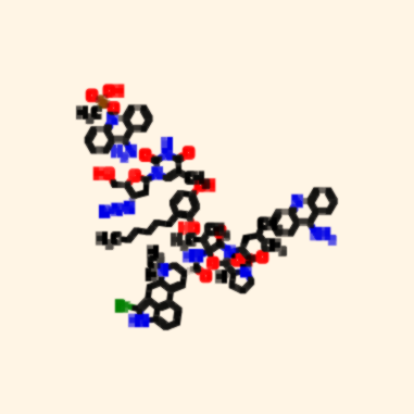 CC(C)C[C@H]1C(=O)N2CCC[C@H]2[C@]2(O)O[C@](NC(=O)[C@@H]3C=C4c5cccc6[nH]c(Br)c(c56)C[C@H]4N(C)C3)(C(C)C)C(=O)N12.CCCCCCc1ccc(O)cc1O.CS(=O)(=O)O.Cc1cn([C@H]2C[C@H](N=[N+]=[N-])[C@@H](CO)O2)c(=O)[nH]c1=O.Nc1c2ccccc2nc2ccccc12.Nc1c2ccccc2nc2ccccc12